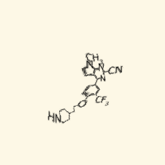 Cn1ccc2c(-c3ccc(OCCC4CCNCC4)c(C(F)(F)F)c3)nc(C#N)nc21